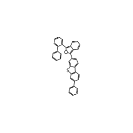 c1ccc(-c2ccc3c(c2)sc2cc(-c4oc(-c5ccccc5-c5ccccc5)c5ccccc45)ccc23)cc1